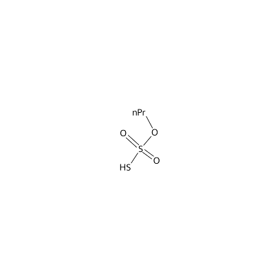 CCCOS(=O)(=O)S